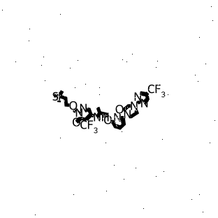 CC(COc1cccc(N2CCN(c3ncc(C(F)(F)F)cn3)CC2=O)n1)Nc1cnn(COCC[Si](C)(C)C)c(=O)c1C(F)(F)F